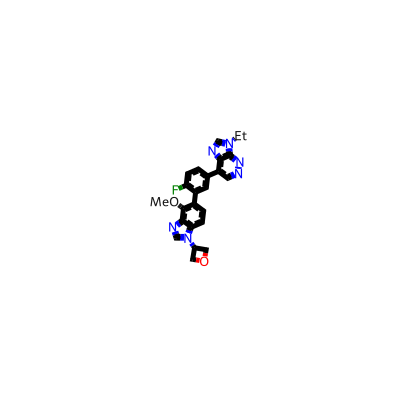 CCn1cnc2c(-c3ccc(F)c(-c4ccc5c(ncn5C5COC5)c4OC)c3)cnnc21